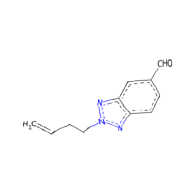 C=CCCn1nc2ccc(C=O)cc2n1